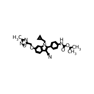 Cc1noc(COc2ccc3c(C#N)c(-c4ccc(NC(=O)OC(C)C)cc4)n(CC4CC4)c3c2)n1